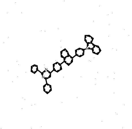 c1ccc(-c2cc(-c3ccc(-c4ccc(-c5ccc(-n6c7ccccc7c7ccccc76)cc5)c5ccccc45)cc3)nc(-c3ccccc3)n2)cc1